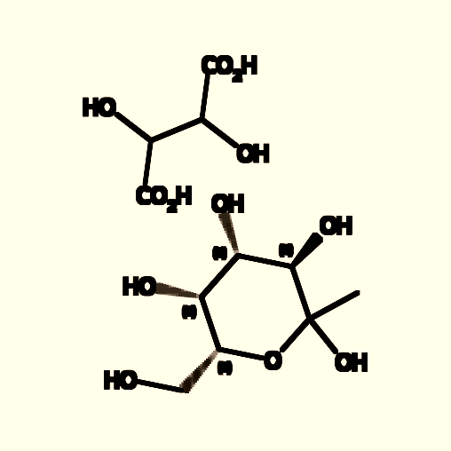 CC1(O)O[C@H](CO)[C@H](O)[C@H](O)[C@H]1O.O=C(O)C(O)C(O)C(=O)O